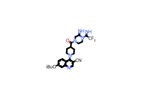 CC(C)COc1ccc2c(N3CCC(C(=O)N4CCN(C(=N)C(F)(F)F)C(=N)C4)CC3)c(C#N)cnc2c1